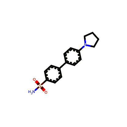 NS(=O)(=O)c1ccc(-c2ccc(N3CCCC3)cc2)cc1